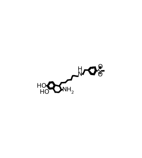 CS(=O)(=O)c1ccc(CCNCCCCCCC2c3ccc(O)c(O)c3CCC2N)cc1